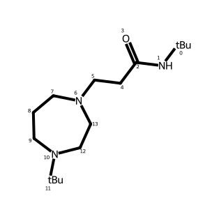 CC(C)(C)NC(=O)CCN1CCCN(C(C)(C)C)CC1